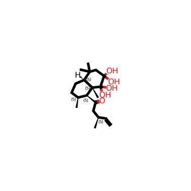 C=C[C@@H](C)CC(=O)[C@H]1[C@@H](C)CC[C@H]2C(C)(C)CC(O)(O)C(O)(O)[C@]12C